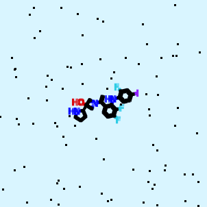 C=C(c1ccc(F)c(F)c1Nc1ccc(I)cc1F)N1CC(O)([C@H]2CCCN2)C1